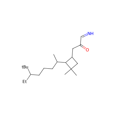 CCC(CCCC(C)C1C(CC(=O)C=N)CC1(C)C)C(C)(C)C